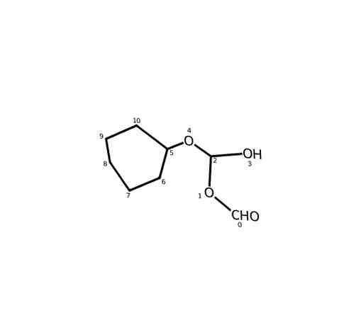 O=COC(O)OC1CCCCC1